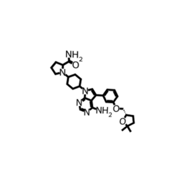 CC1(C)CC[C@@H](COc2cccc(-c3cn(C4CCC(N5CCCC5C(N)=O)CC4)c4ncnc(N)c34)c2)O1